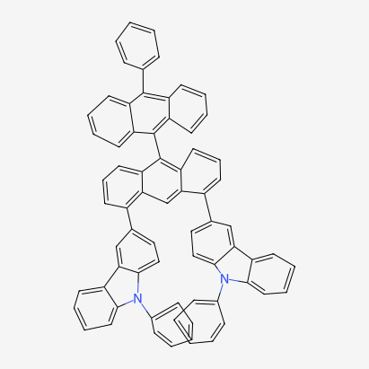 c1ccc(-c2c3ccccc3c(-c3c4cccc(-c5ccc6c(c5)c5ccccc5n6-c5ccccc5)c4cc4c(-c5ccc6c(c5)c5ccccc5n6-c5ccccc5)cccc34)c3ccccc23)cc1